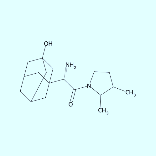 CC1CCN(C(=O)[C@@H](N)C23CC4CC(CC(O)(C4)C2)C3)C1C